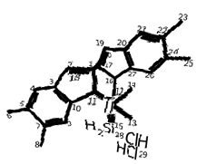 CC1=Cc2cc(C)c(C)cc2[CH]1[Ti]([CH3])([CH3])(=[SiH2])[CH]1C(C)=Cc2cc(C)c(C)cc21.Cl.Cl